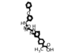 CC(C(=O)O)C1CCC(c2ccc3[nH]c(-c4nnc(Nc5cccc(OCc6ccccc6)c5)o4)nc3c2)CC1